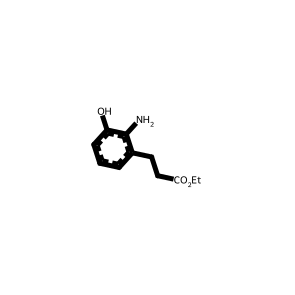 CCOC(=O)CCc1cccc(O)c1N